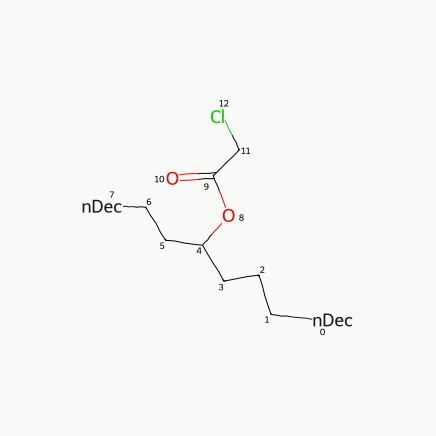 CCCCCCCCCCCCCC(CCCCCCCCCCCC)OC(=O)CCl